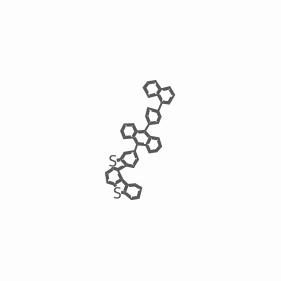 c1ccc2c(-c3ccc(-c4c5ccccc5c(-c5ccc6c(c5)sc5ccc7sc8ccccc8c7c56)c5ccccc45)cc3)cccc2c1